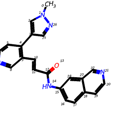 Cn1cc(-c2ccncc2C=CC(=O)Nc2ccc3ccncc3c2)cn1